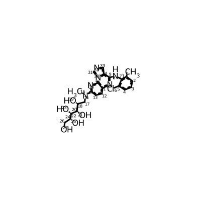 Cc1cccc(Cl)c1Nc1nc2ccc(N(C)C[C@H](O)[C@@H](O)[C@H](O)[C@H](O)CO)nc2n2cncc12